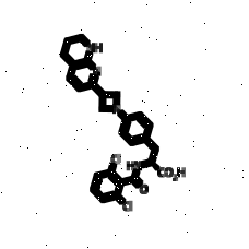 O=C(N[C@@H](Cc1ccc(N2CC(c3ccc4c(n3)NCCC4)C2)cc1)C(=O)O)c1c(Cl)cccc1Cl